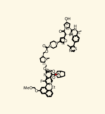 CCc1cccc2cc(OCOC)cc(-c3ncc4c(N5CC6CCC(C5)N6C(=O)OC(C)(C)C)nc(OC[C@@H]5CC[C@@H](COC(=O)N6CCN(c7cc([C@H](C(=O)N8C[C@H](O)C[C@H]8C(=O)N[C@@H](C)c8ccc(-c9scnc9C)cc8)C(C)C)on7)CC6)N5C)nc4c3F)c12